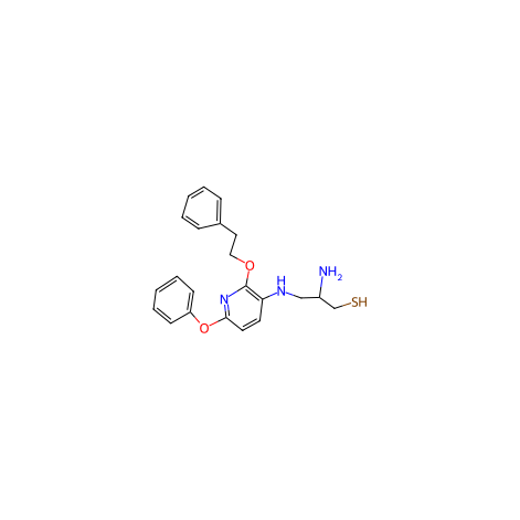 NC(CS)CNc1ccc(Oc2ccccc2)nc1OCCc1ccccc1